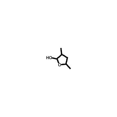 CC1CC(C)C(O)O1